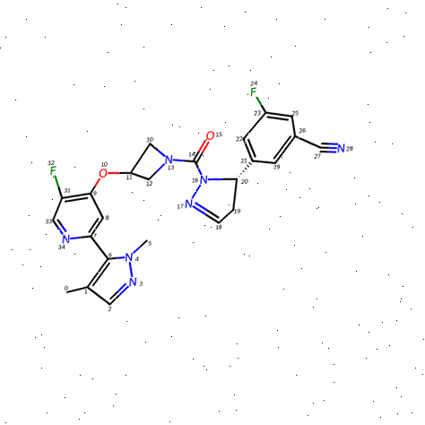 Cc1cnn(C)c1-c1cc(OC2CN(C(=O)N3N=CC[C@H]3c3cc(F)cc(C#N)c3)C2)c(F)cn1